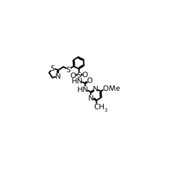 COc1cc(C)nc(NC(=O)NS(=O)(=O)c2ccccc2SCC2=NCCS2)n1